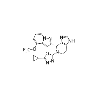 FC(F)(F)Oc1cccn2nc([C@@H]3c4nc[nH]c4CCN3c3nnc(C4CC4)o3)cc12